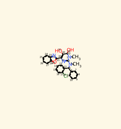 CN1C(N(C)C(c2ccccc2)c2ccccc2Cl)=NC(c2nc3ccccc3o2)=C(O)C1O